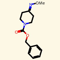 CON=C1CCN(C(=O)OCc2ccccc2)CC1